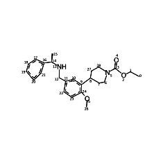 CCOC(=O)N1CCC(c2cc(CN[C@H](C)c3ccccc3)ccc2OC)CC1